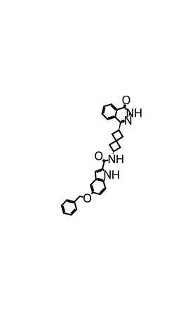 O=C(N[C@H]1CC2(C1)C[C@H](c1n[nH]c(=O)c3ccccc31)C2)c1cc2cc(OCc3ccccc3)ccc2[nH]1